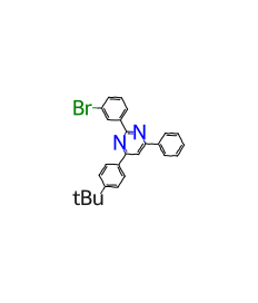 CC(C)(C)c1ccc(-c2cc(-c3ccccc3)nc(-c3cccc(Br)c3)n2)cc1